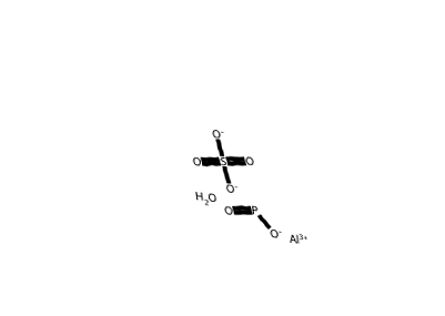 O.O=P[O-].O=S(=O)([O-])[O-].[Al+3]